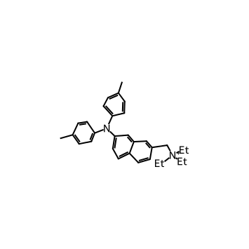 CC[N+](CC)(CC)Cc1ccc2ccc(N(c3ccc(C)cc3)c3ccc(C)cc3)cc2c1